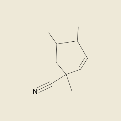 CC1C=CC(C)(C#N)CC1C